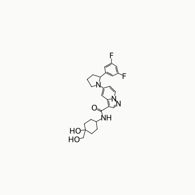 O=C(NC1CCC(O)(CO)CC1)c1cnn2ccc(N3CCCC3c3cc(F)cc(F)c3)cc12